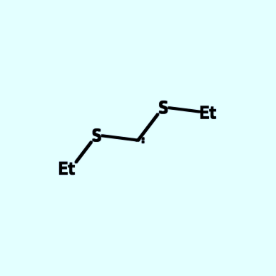 CCS[C]SCC